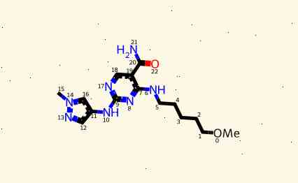 COCCCCCNc1nc(Nc2cnn(C)c2)ncc1C(N)=O